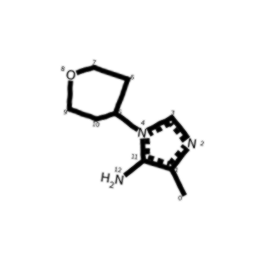 Cc1ncn(C2CCOCC2)c1N